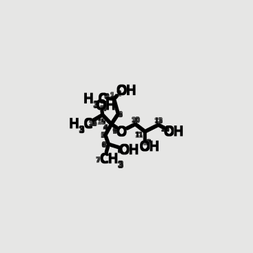 CC(O)CC(CC(C)O)(OCC(O)CO)C(C)O